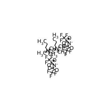 CCC[N+](C)(C)C.CCC[N+](C)(C)C.O=S(=O)([N-]S(=O)(=O)C(F)(F)F)C(F)(F)F.O=S(=O)([N-]S(=O)(=O)C(F)(F)F)C(F)(F)F